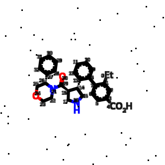 CCc1cc(C(=O)O)ccc1-c1ccccc1[C@@H]1CNC[C@H]1C(=O)N1CCOC[C@@H]1c1ccccc1